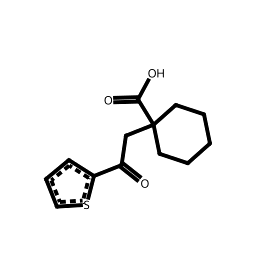 O=C(CC1(C(=O)O)CCCCC1)c1cccs1